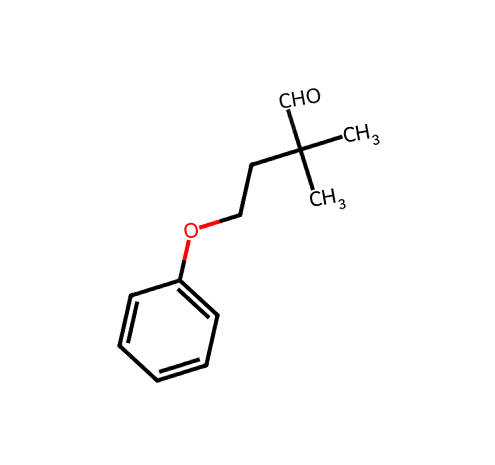 CC(C)(C=O)CCOc1ccccc1